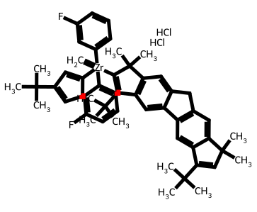 Cl.Cl.[CH2]=[Zr]([C]1=CC(C(C)(C)C)=CC1)([C]1=C(C(C)(C)C)c2cc3c(cc2C1(C)C)Cc1cc2c(cc1-3)C(C(C)(C)C)=CC2(C)C)([c]1cccc(F)c1)[c]1cccc(F)c1